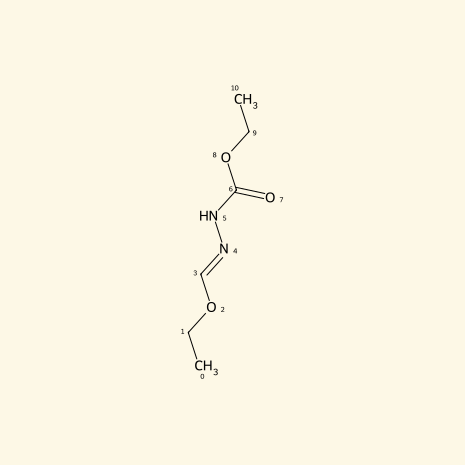 CCOC=NNC(=O)OCC